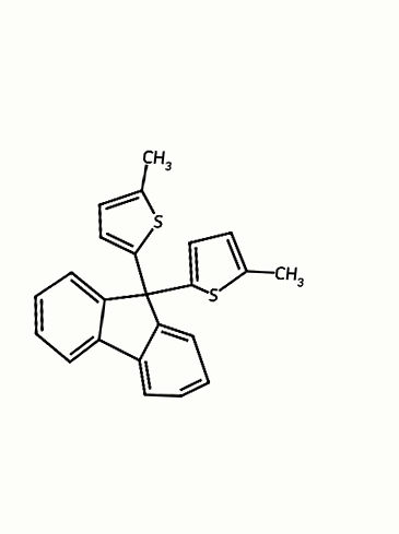 Cc1ccc(C2(c3ccc(C)s3)c3ccccc3-c3ccccc32)s1